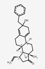 C=C[C@@H]1CC(=O)[C@@]2(C)CC[C@@H]3C4=CCC(O)(Cc5ccccc5)C=C4CC[C@H]3[C@H]12